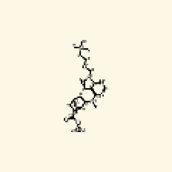 CN(c1ncnc2c1cnn2COCC[Si](C)(C)C)C1CC2CC1N(C(=O)OC(C)(C)C)C2